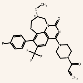 C=CC(=O)N1CCN(c2nc(=O)n3c4c(c(-c5ccc(F)cc5)c(C(F)(F)F)cc24)SC[C@H](OC)C3)CC1